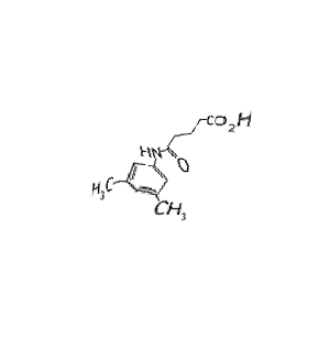 Cc1cc(C)cc(NC(=O)CCCC(=O)O)c1